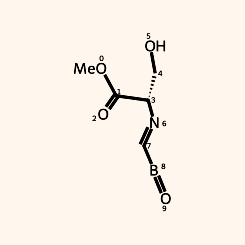 COC(=O)[C@H](CO)/N=C/B=O